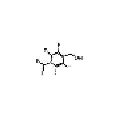 OCc1c(F)c(F)c(C(F)F)c(F)c1F